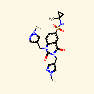 Cn1cc(Cn2c(=O)c3cc(S(=O)(=O)NC4(C)CC4)ccc3n(Cc3cnn(C)c3)c2=O)cn1